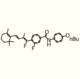 CCCCOc1ccc(NC(=O)c2ccc(/C(F)=C(C)/C=C/C3=C(C)CCCC3(C)C)c(F)c2)cc1